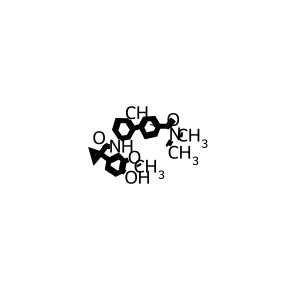 CCN(C)C(=O)c1ccc(C2=C(C)C=CC(NC(=O)C3(c4ccc(O)c(OC)c4)CC3)C2)cc1